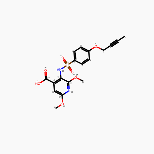 CC#CCOc1ccc(S(=O)(=O)Nc2c(C(=O)O)cc(OC)nc2OC)cc1